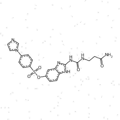 NC(=O)CCNC(=O)Nc1nc2cc(OS(=O)(=O)c3ccc(-n4ccnc4)cc3)ccc2[nH]1